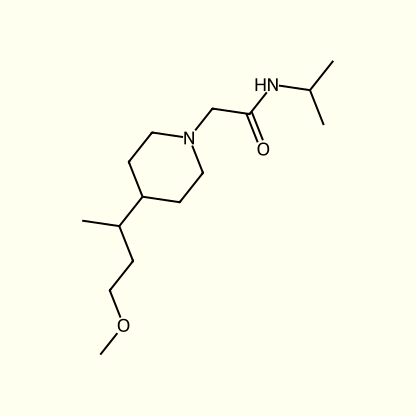 COCCC(C)C1CCN(CC(=O)NC(C)C)CC1